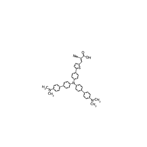 CN(C)c1ccc(-c2ccc(N(c3ccc(-c4ccc(N(C)C)cc4)cc3)c3ccc(-c4ccc(/C=C(\C#N)C(=O)O)s4)cc3)cc2)cc1